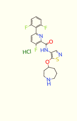 Cl.O=C(Nc1cnsc1OC1CCCNCC1)c1nc(-c2c(F)cccc2F)ccc1F